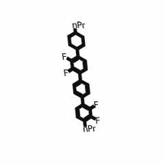 CCCc1ccc(-c2ccc(-c3ccc(C4CCC(CCC)CC4)c(F)c3F)cc2)c(F)c1F